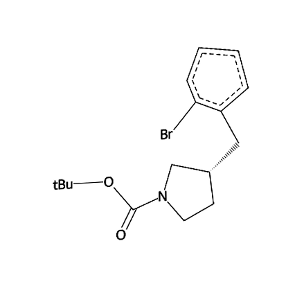 CC(C)(C)OC(=O)N1CC[C@@H](Cc2ccccc2Br)C1